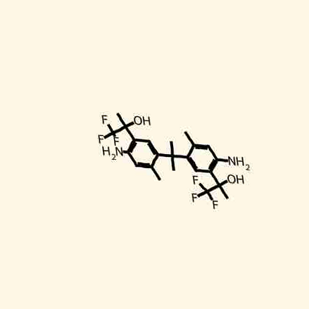 Cc1cc(N)c(C(C)(O)C(F)(F)F)cc1C(C)(C)c1cc(C(C)(O)C(F)(F)F)c(N)cc1C